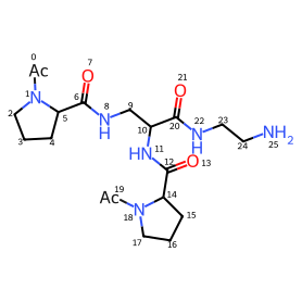 CC(=O)N1CCCC1C(=O)NCC(NC(=O)C1CCCN1C(C)=O)C(=O)NCCN